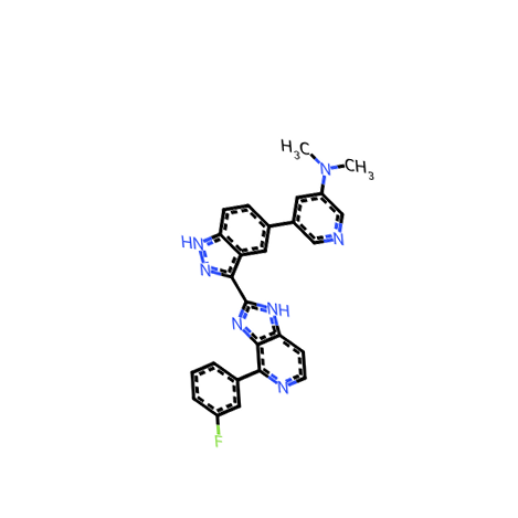 CN(C)c1cncc(-c2ccc3[nH]nc(-c4nc5c(-c6cccc(F)c6)nccc5[nH]4)c3c2)c1